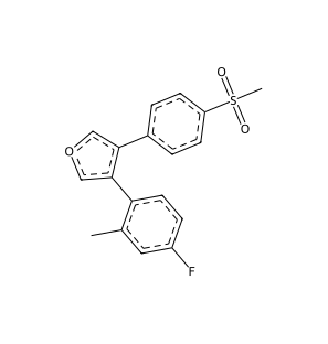 Cc1cc(F)ccc1-c1cocc1-c1ccc(S(C)(=O)=O)cc1